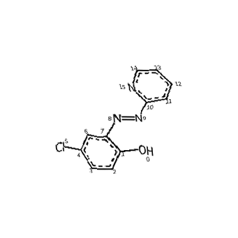 Oc1ccc(Cl)cc1N=Nc1ccccn1